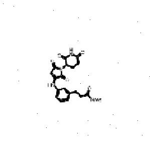 CNC(=O)CCc1cccc(NC2=CC(=O)N(C3CCC(=O)NC3=O)C2=O)c1